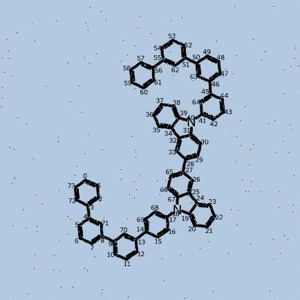 c1ccc(-c2cccc(-c3cccc(-c4ccc(-n5c6ccccc6c6cc(-c7ccc8c(c7)c7ccccc7n8-c7cccc(-c8cccc(-c9cccc(-c%10ccccc%10)c9)c8)c7)ccc65)cc4)c3)c2)cc1